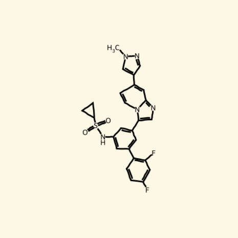 Cn1cc(-c2ccn3c(-c4cc(NS(=O)(=O)C5CC5)cc(-c5ccc(F)cc5F)c4)cnc3c2)cn1